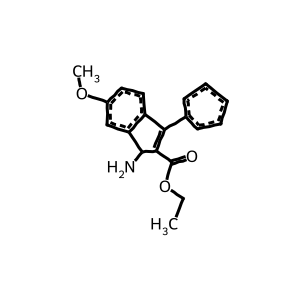 CCOC(=O)C1=C(c2ccccc2)c2ccc(OC)cc2C1N